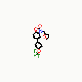 O=c1oc2ccc(-c3ccc(OC(F)(F)F)cc3)cc2n1CC1CCCO1